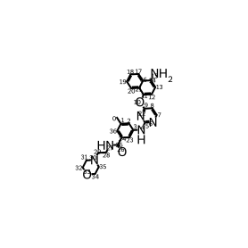 Cc1cc(Nc2nccc(Oc3ccc(N)c4ccccc34)n2)cc(C(=O)NCCN2CCOCC2)c1